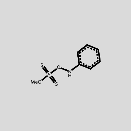 COS(=S)(=S)ONc1ccccc1